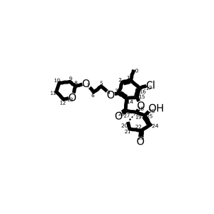 Cc1cc(OCCOC2CCCCO2)c2c(c1Cl)O[C@]1(CCC(=O)C=C1O)C2=O